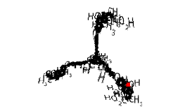 C[C@H](CCC(=O)O)[C@H]1CC[C@H]2[C@@H]3CC[C@@H]4C[C@@H](OCCCCCCNC(=O)C5(C)CC(C)(C(=O)NCCCCCCO[C@H]6CC[C@@]7(C)[C@@H](C6)C[C@@H](O)[C@@H]6[C@@H]7C[C@H](O)[C@]7(C)[C@@H]([C@H](C)CCC(=O)O)CC[C@@H]67)CC(C)(C(=O)NCCCCCCO[C@H]6CC[C@@]7(C)[C@@H](C6)C[C@@H](O)[C@@H]6[C@@H]7C[C@H](O)[C@]7(C)[C@@H]([C@H](C)CCC(=O)O)CC[C@@H]67)C5)CC[C@]4(C)[C@H]3C[C@H](O)[C@]12C